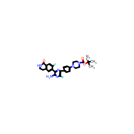 CC(C)(C)OC(=O)N1CCN(c2ccc(-c3nc(-c4cc5c(cc4F)C(=O)NCC5)c(N)nc3F)cc2)CC1